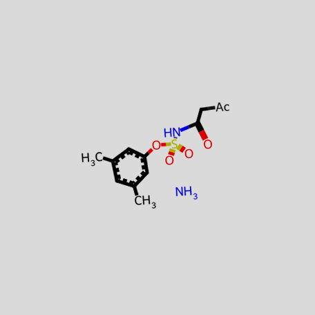 CC(=O)CC(=O)NS(=O)(=O)Oc1cc(C)cc(C)c1.N